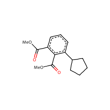 COC(=O)c1cccc(C2CCCC2)c1C(=O)OC